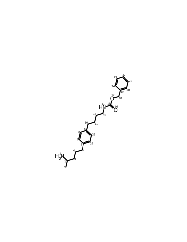 CC(N)CCCc1ccc(CCCCNC(=O)OCc2ccccc2)cc1